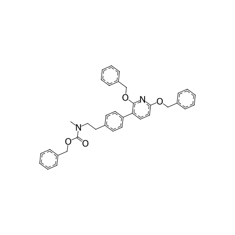 CN(CCc1ccc(-c2ccc(OCc3ccccc3)nc2OCc2ccccc2)cc1)C(=O)OCc1ccccc1